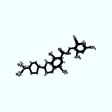 Cc1cc(C)c(CNC(=O)c2cc(C)c3c(c2Br)OC(C2CCC(N(C)C)CC2)OC3)c(=O)[nH]1